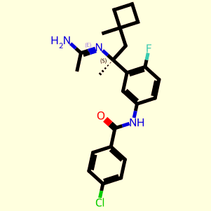 C/C(N)=N\[C@@](C)(CC1(C)CCC1)c1cc(NC(=O)c2ccc(Cl)cc2)ccc1F